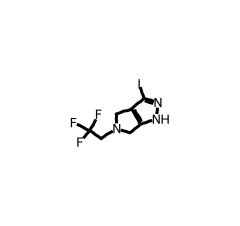 FC(F)(F)CN1Cc2[nH]nc(I)c2C1